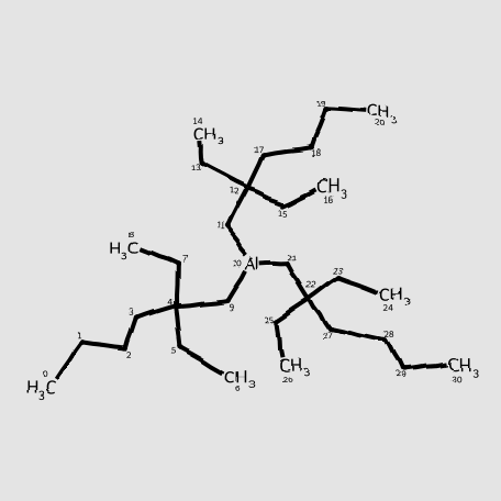 CCCCC(CC)(CC)[CH2][Al]([CH2]C(CC)(CC)CCCC)[CH2]C(CC)(CC)CCCC